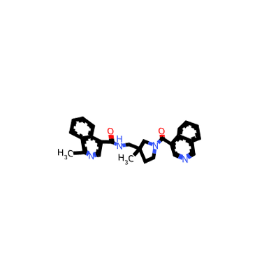 Cc1ncc(C(=O)NCC2(C)CCN(C(=O)c3cncc4ccccc34)C2)c2ccccc12